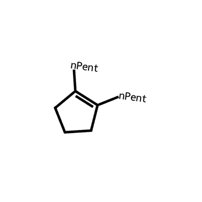 CCCCCC1=C(CCCCC)CCC1